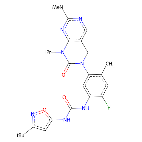 CNc1ncc2c(n1)N(C(C)C)C(=O)N(c1cc(NC(=O)Nc3cc(C(C)(C)C)no3)c(F)cc1C)C2